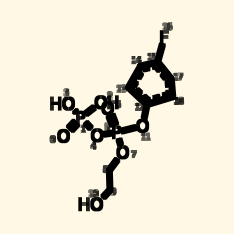 O=P(O)(O)OP(=O)(OCCO)Oc1ccc(F)cc1